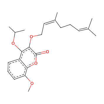 COc1cccc2c(OC(C)C)c(OCC=C(C)CCC=C(C)C)c(=O)oc12